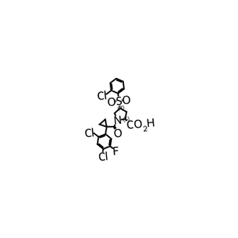 O=C(O)[C@@H]1C[C@@H](S(=O)(=O)c2ccccc2Cl)CN1C(=O)C1(c2cc(F)c(Cl)cc2Cl)CC1